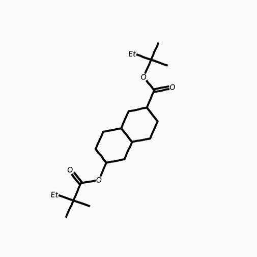 CCC(C)(C)OC(=O)C1CCC2CC(OC(=O)C(C)(C)CC)CCC2C1